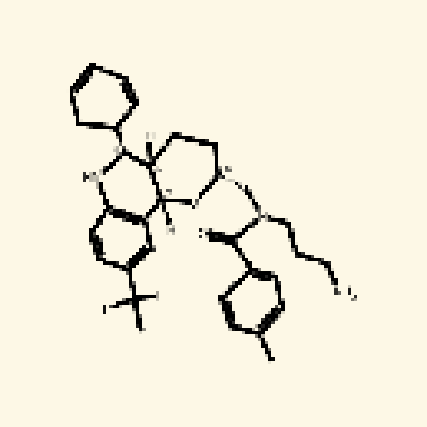 Cc1ccc(C(=O)N(CCCN)C[C@H]2CC[C@@H]3[C@H](O2)c2cc(C(F)(F)F)ccc2N[C@H]3C2C=CC=CC2)cc1